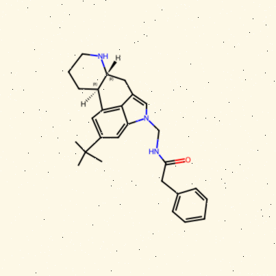 CC(C)(C)c1cc2c3c(cn(CNC(=O)Cc4ccccc4)c3c1)C[C@H]1NCCC[C@H]21